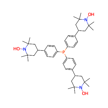 CC1(C)CC(c2ccc(P(c3ccc(C4CC(C)(C)N(O)C(C)(C)C4)cc3)c3ccc(C4CC(C)(C)N(O)C(C)(C)C4)cc3)cc2)CC(C)(C)N1O